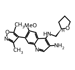 COc1cc2c(NC[C@H]3CCCO3)c(N)cnc2cc1-c1c(C)noc1C